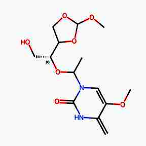 C=C1NC(=O)N(C(C)O[C@H](CO)C2COC(OC)O2)C=C1OC